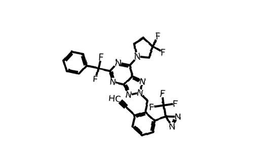 C#Cc1cccc(C2(C(F)(F)F)N=N2)c1Cn1nc2nc(C(F)(F)c3ccccc3)nc(N3CCC(F)(F)C3)c2n1